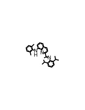 CC(=Nc1c(C(C)C)cccc1C(C)C)c1ccc2cccc(Nc3c(C)cccc3C)c2n1